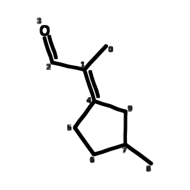 CC(C=O)=C1CCC(C)C1